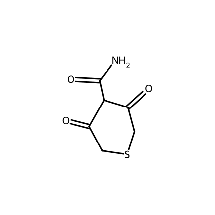 NC(=O)C1C(=O)CSCC1=O